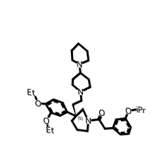 CCOc1ccc([C@@]2(CCN3CCC(N4CCCCC4)CC3)CCCN(C(=O)Cc3cccc(OC(C)C)c3)C2)cc1OCC